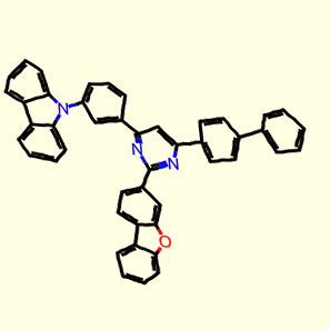 c1ccc(-c2ccc(-c3cc(-c4cccc(-n5c6ccccc6c6ccccc65)c4)nc(-c4ccc5c(c4)oc4ccccc45)n3)cc2)cc1